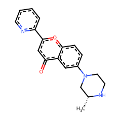 C[C@@H]1CN(c2ccc3oc(-c4ccccn4)cc(=O)c3c2)CCN1